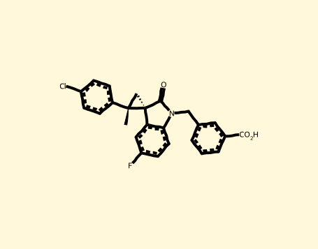 C[C@@]1(c2ccc(Cl)cc2)C[C@@]12C(=O)N(Cc1cccc(C(=O)O)c1)c1ccc(F)cc12